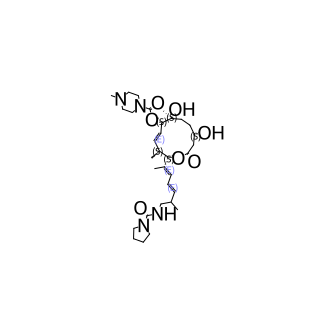 C/C(=C\C=C\C(C)CNC(=O)N1CCCC1)[C@H]1OC(=O)C[C@@H](O)CC[C@](C)(O)[C@@H](OC(=O)N2CCN(C)CC2)/C=C/[C@@H]1C